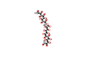 C[SiH](O[Si](=O)[Si](=O)[Si](=O)[Si](=O)[Si](=O)[Si](=O)[Si](=O)[Si](=O)[Si](=O)[Si](=O)[Si](=O)[Si](=O)[SiH]=O)[Si](=O)[Si](=O)[Si](=O)[Si](=O)[Si](=O)[Si](=O)[Si](=O)[SiH]=O